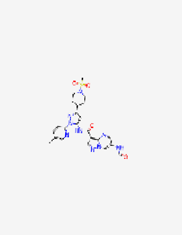 Cc1ccc(-n2nc(C3CCN(S(C)(=O)=O)CC3)cc2NC(=O)c2cnn3cc(NC=O)cnc23)nc1